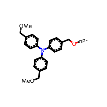 CCCOCc1ccc(N(c2ccc(COC)cc2)c2ccc(COC)cc2)cc1